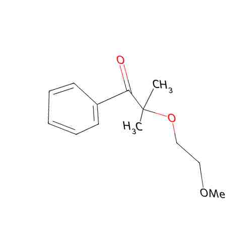 COCCOC(C)(C)C(=O)c1ccccc1